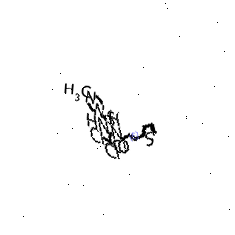 CN1CCN(C(=S)NC(NC(=O)/C=C/c2cccs2)C(Cl)(Cl)Cl)CC1